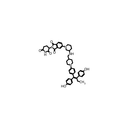 CCC(=C(c1ccc(O)cc1)c1ccc(N2CCC(CNC3CCCN(c4ccc5c(c4)C(=O)N(C4CCC(=O)NC4=O)C5=O)C3)CC2)cc1)c1ccc(O)cc1